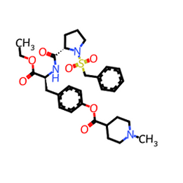 CCOC(=O)[C@H](Cc1ccc(OC(=O)C2CCN(C)CC2)cc1)NC(=O)[C@@H]1CCCN1S(=O)(=O)Cc1ccccc1